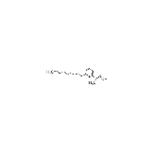 CCCCCCCCCc1cccc(C(C)=NO)c1